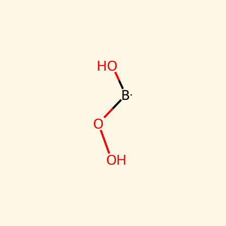 O[B]OO